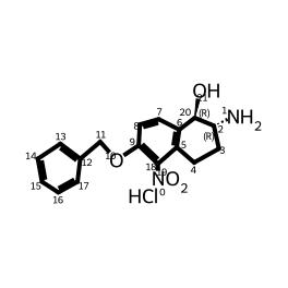 Cl.N[C@@H]1CCc2c(ccc(OCc3ccccc3)c2[N+](=O)[O-])[C@H]1O